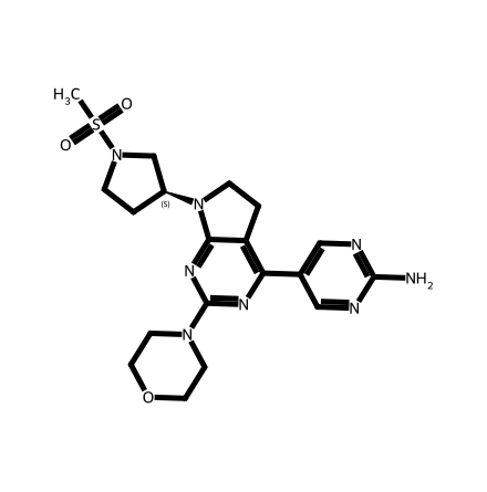 CS(=O)(=O)N1CC[C@H](N2CCc3c(-c4cnc(N)nc4)nc(N4CCOCC4)nc32)C1